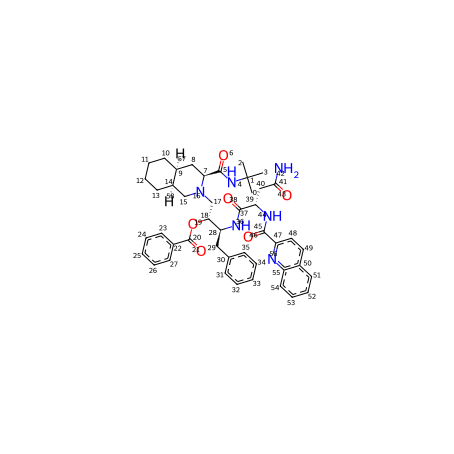 CC(C)(C)NC(=O)[C@@H]1C[C@@H]2CCCC[C@@H]2CN1C[C@@H](OC(=O)c1ccccc1)[C@H](Cc1ccccc1)NC(=O)[C@H](CC(N)=O)NC(=O)c1ccc2ccccc2n1